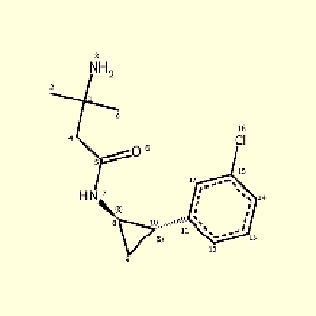 CC(C)(N)CC(=O)N[C@@H]1C[C@H]1c1cccc(Cl)c1